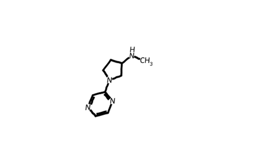 CNC1CCN(c2cnccn2)C1